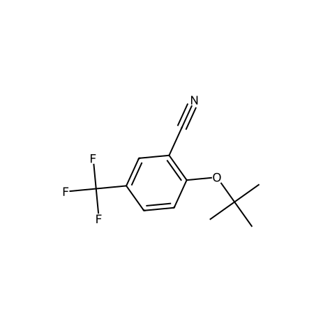 CC(C)(C)Oc1ccc(C(F)(F)F)cc1C#N